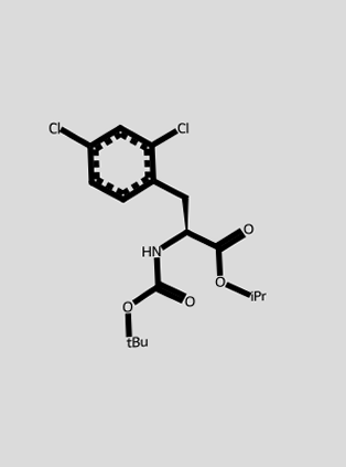 CC(C)OC(=O)[C@H](Cc1ccc(Cl)cc1Cl)NC(=O)OC(C)(C)C